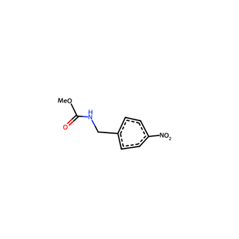 COC(=O)NCc1ccc([N+](=O)[O-])cc1